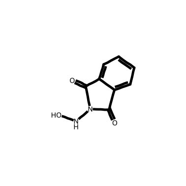 O=C1c2ccccc2C(=O)N1NO